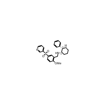 COc1ccc(S(=O)(=O)c2cccnc2)cc1CN[C@H]1CCCN[C@H]1c1ccccc1